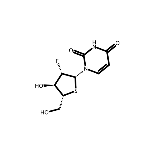 O=c1ccn([C@@H]2S[C@H](CO)[C@@H](O)[C@@H]2F)c(=O)[nH]1